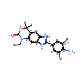 CCN1C(=O)OC(C)(C)c2cc3[nH]c(-c4cc(Br)c(N)c(Br)c4)nc3cc21